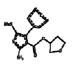 CSc1nc(N)c(C(=O)OC2CCOC2)n1-c1ccccc1